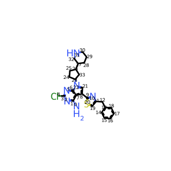 Nc1nc(Cl)nc2c1c(-c1nc(Cc3ccccc3)cs1)cn2C1CCC(C2CCCNC2)C1